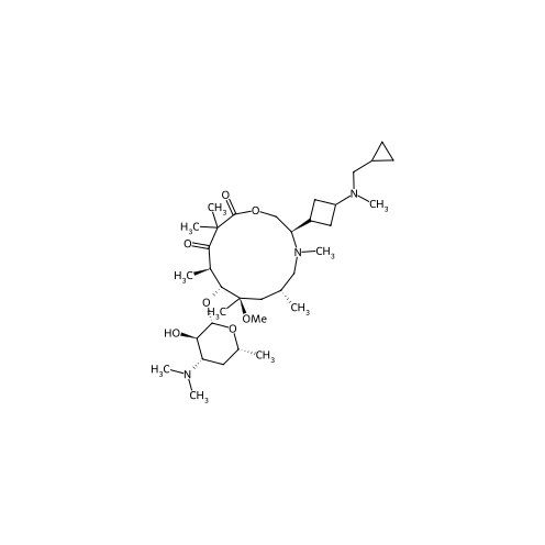 CO[C@]1(C)C[C@@H](C)CN(C)[C@H](C2CC(N(C)CC3CC3)C2)COC(=O)C(C)(C)C(=O)[C@H](C)[C@H]1O[C@@H]1O[C@H](C)C[C@H](N(C)C)[C@H]1O